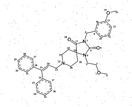 COCCN1C(=O)N(Cc2cccc(OC)c2)C(=O)C12CCN(CC=C(c1ccccc1)c1ccccc1)CC2